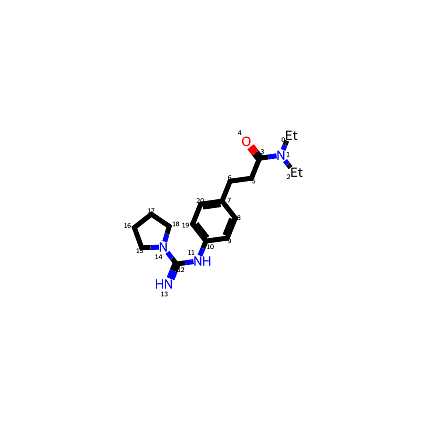 CCN(CC)C(=O)CCc1ccc(NC(=N)N2CCCC2)cc1